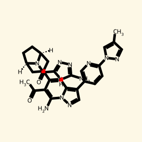 CC(=O)c1c(C2C[C@H]3CC[C@@H](C2)N3C(=O)c2nnc(N)[nH]2)nc2c(-c3ccc(-n4cc(C)cn4)nc3)cnn2c1N